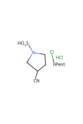 CCCCCCl.Cl.N#CC1CCN(S(=O)(=O)O)C1